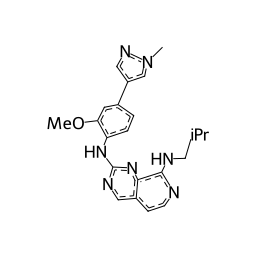 COc1cc(-c2cnn(C)c2)ccc1Nc1ncc2ccnc(NCC(C)C)c2n1